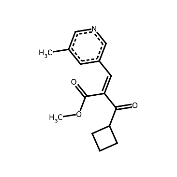 COC(=O)C(=Cc1cncc(C)c1)C(=O)C1CCC1